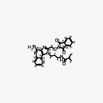 CC(C)C(=O)NCCCn1c(CON2C(=O)c3ccccc3C2=O)nc2c(N)nc3cccnc3c21